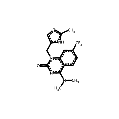 Cc1ncc(Cn2c(=O)nc(N(C)C)c3ccc(C(F)(F)F)cc32)[nH]1